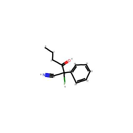 CCCC(=O)C(F)(C#N)c1ccccc1